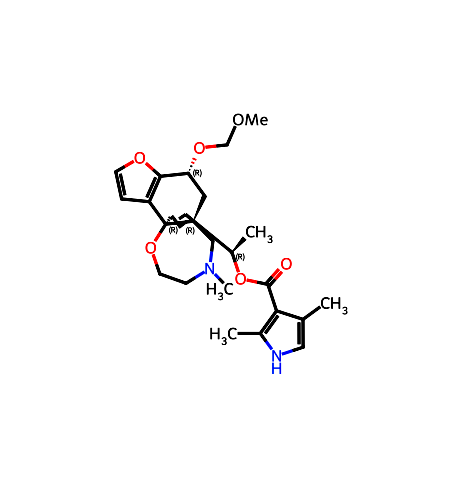 COCO[C@@H]1C[C@@]23CN(C)CCO[C@@]2(CC=C3[C@@H](C)OC(=O)c2c(C)c[nH]c2C)c2ccoc21